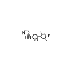 Cc1cc(-c2ccc(N[C@@H]3CCCN(C)C3)nn2)c(C)cc1F